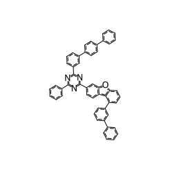 c1ccc(-c2ccc(-c3cccc(-c4nc(-c5ccccc5)nc(-c5ccc6c(c5)oc5cccc(-c7cccc(-c8ccccc8)c7)c56)n4)c3)cc2)cc1